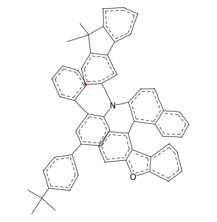 CC(C)(C)c1ccc(-c2ccc(N(c3ccc4c(c3)-c3ccccc3C4(C)C)c3ccc4ccccc4c3-c3cccc4oc5ccccc5c34)c(-c3ccccc3)c2)cc1